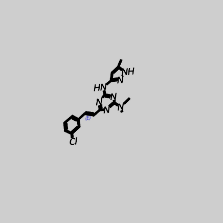 Cc1cc(Nc2nc(/C=C/c3cccc(Cl)c3)nc(N(C)C)n2)n[nH]1